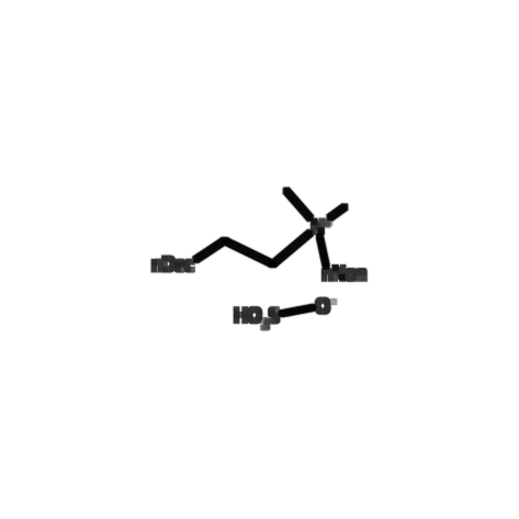 CCCCCCCCCCCC[N+](C)(C)CCCCCCCCC.O=S(=O)([O-])O